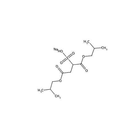 CC(C)COC(=O)CC(C(=O)OCC(C)C)S(=O)(=O)O.[Na]